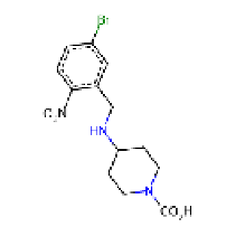 O=C(O)N1CCC(NCc2cc(Br)ccc2[N+](=O)[O-])CC1